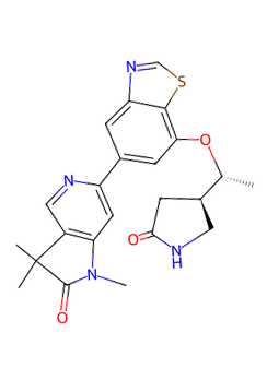 C[C@@H](Oc1cc(-c2cc3c(cn2)C(C)(C)C(=O)N3C)cc2ncsc12)[C@H]1CNC(=O)C1